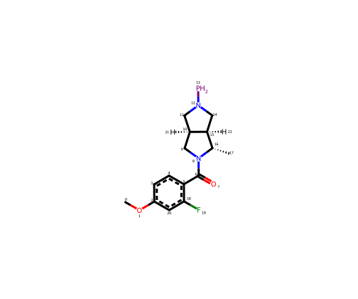 COc1ccc(C(=O)N2C[C@H]3CN(P)C[C@H]3[C@@H]2C)c(F)c1